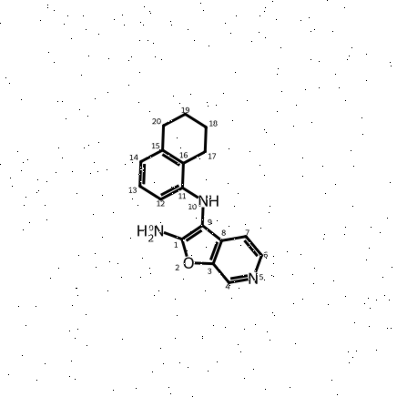 Nc1oc2cnccc2c1Nc1cccc2c1CCCC2